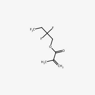 C=C(C)C(=O)OCC(F)(F)CC(F)(F)F